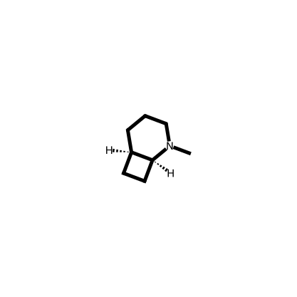 CN1CCC[C@@H]2CC[C@@H]21